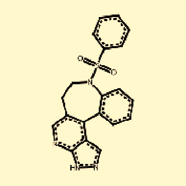 O=S(=O)(c1ccccc1)N1CCc2cnc3[nH]ncc3c2-c2ccccc21